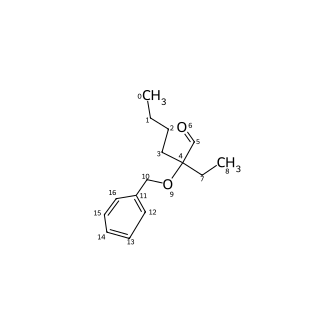 CCCCC(C=O)(CC)OCc1ccccc1